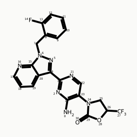 Nc1nc(-c2nn(Cc3ccccc3F)c3ncccc23)ncc1N1CC(C(F)(F)F)OC1=O